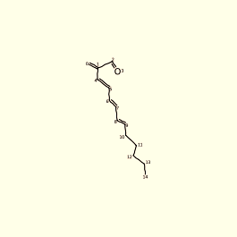 C=C(C=O)C=CC=CC=CCCCCC